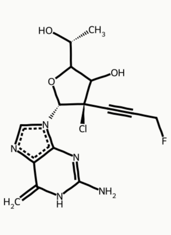 C=C1NC(N)=Nc2c1ncn2[C@@H]1OC([C@@H](C)O)C(O)[C@]1(Cl)C#CCF